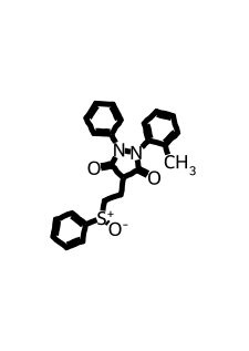 Cc1ccccc1N1C(=O)C(CC[S+]([O-])c2ccccc2)C(=O)N1c1ccccc1